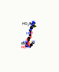 Cc1ncsc1-c1ccc(C(C)NC(=O)[C@@H]2C[C@@H](O)CN2C(=O)C(NC(=O)c2cc3cc(O[C@H]4C[C@@H](NC(=O)C5CCN(c6ccc(C7=N[C@@H](CC(=O)O)c8nnc(C)n8-c8sc(C)c(C)c87)cc6)C5)C4)ccc3o2)C(C)(C)C)cc1